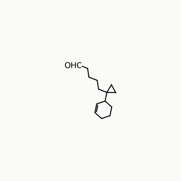 O=CCCCCC1(C2C=CCCC2)CC1